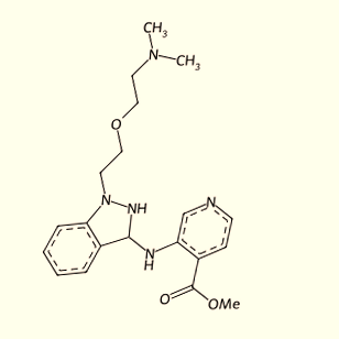 COC(=O)c1ccncc1NC1NN(CCOCCN(C)C)c2ccccc21